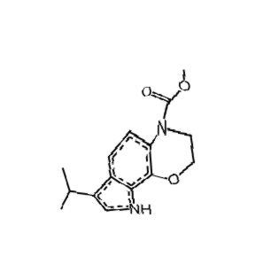 COC(=O)N1CCOc2c1ccc1c(C(C)C)c[nH]c21